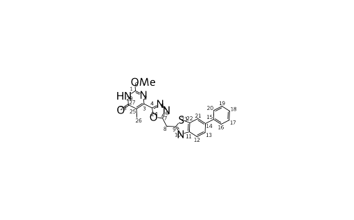 COc1nc(-c2nnc(Cc3nc4ccc(-c5ccccc5)cc4s3)o2)c(C)c(=O)[nH]1